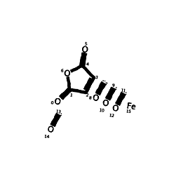 O=C1C=CC(=O)O1.[C]=O.[C]=O.[C]=O.[C]=O.[Fe]